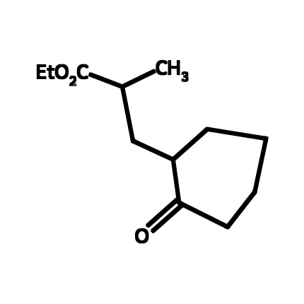 CCOC(=O)C(C)CC1CCCCC1=O